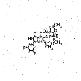 COC[C@H](C)N/C(=N/C(=O)C1=CC(C)OC1C(F)(F)F)NC1CC(c2cc(F)cc(F)c2)NN1